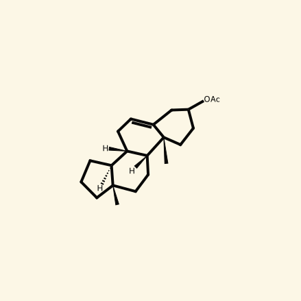 CC(=O)OC1CC[C@@]2(C)C(=CC[C@@H]3[C@H]2CC[C@]2(C)CCC[C@@H]32)C1